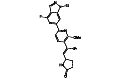 CCn1ncc2c(F)cc(-c3ccc(/C(=C/C4CCC(=O)N4)C(C)C)c(OC)n3)cc21